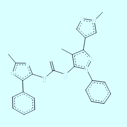 Cc1nc(-c2ccccc2)c(NC(=O)Nc2c(C)c(-c3cnn(C)c3)nn2-c2ccccc2)o1